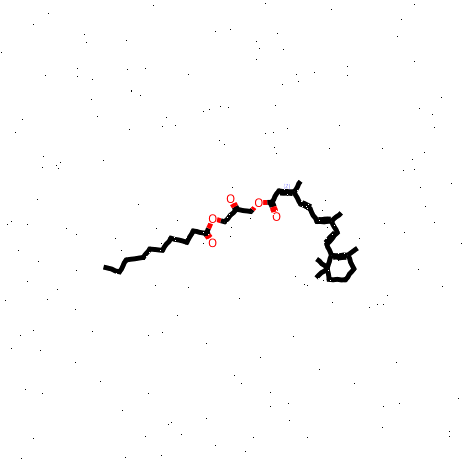 CCCCCCCCCC(=O)OCC(=O)COC(=O)/C=C(/C)C=CC=C(C)C=CC1=C(C)CCCC1(C)C